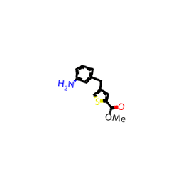 COC(=O)c1cc(Cc2cccc(N)c2)cs1